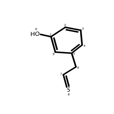 Oc1cccc(CC=S)c1